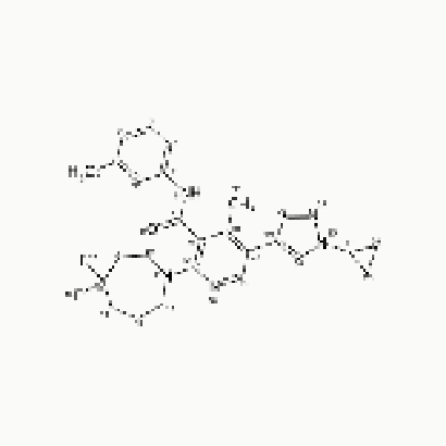 Cc1cccc(NC(=O)c2c(N3CCCC(F)(F)CC3)ncc(-c3cnn(C4CC4)c3)c2C)c1